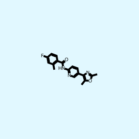 Cc1nc(-c2ccc(NC(=O)c3ccc(F)cc3C)nc2)c(C)o1